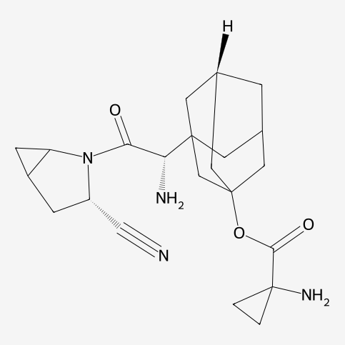 N#C[C@@H]1CC2CC2N1C(=O)[C@@H](N)C12CC3C[C@H](CC(OC(=O)C4(N)CC4)(C3)C1)C2